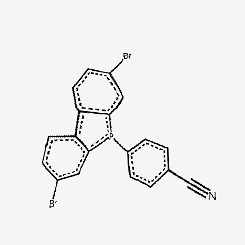 N#Cc1ccc(-p2c3cc(Br)ccc3c3ccc(Br)cc32)cc1